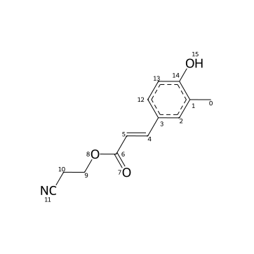 Cc1cc(/C=C/C(=O)OCCC#N)ccc1O